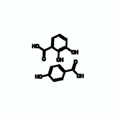 O=C(O)c1ccc(O)cc1.O=C(O)c1cccc(O)c1O